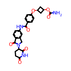 NC(=O)O[C@H]1C[C@@H](Oc2ccc(C(=O)Nc3ccc4c(c3)CN(C3CCC(=O)NC3=O)C4=O)cc2)C1